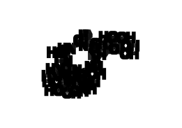 CC(c1ccccc1)C1NC(=O)CNC(=O)C(CO)NC(=O)C(C(O)C2CNC(=N)N2C2OC(CO)C(O)C(O)C2O)NC(=O)C(C(O)C2CNC(=N)N2)NC(=O)C(Cc2ccc(OC3OC(CO)C(O)C(O)C3O)cc2)NC1=O